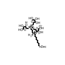 CCCCCCCCCCCCCCCCCC[N+](C)(C)CCC[Si](OCC1OC(O)C(O)C1O)(OCC1OC(O)C(O)C1O)OCC1OC(O)C(O)C1O.[Cl-]